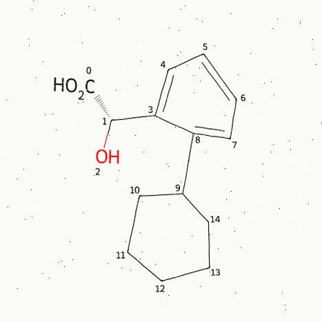 O=C(O)[C@@H](O)c1ccccc1C1CCCCC1